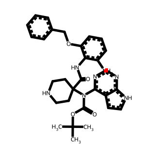 CC(C)(C)OC(=O)N(c1ncnc2[nH]ccc12)C1(C(=O)Nc2c(N)cccc2OCc2ccccc2)CCNCC1